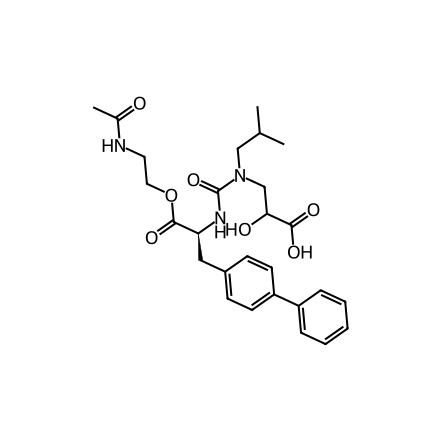 CC(=O)NCCOC(=O)[C@H](Cc1ccc(-c2ccccc2)cc1)NC(=O)N(CC(C)C)CC(O)C(=O)O